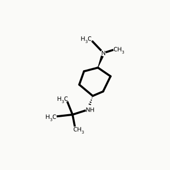 CN(C)[C@H]1CC[C@H](NC(C)(C)C)CC1